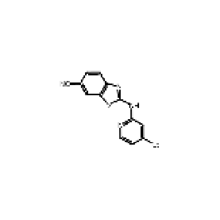 CCc1ccnc(Nc2nc3ccc(C#N)cc3s2)c1